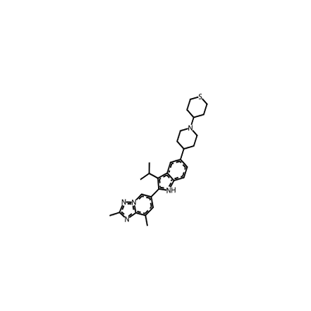 Cc1nc2c(C)cc(-c3[nH]c4ccc(C5CCN(C6CCSCC6)CC5)cc4c3C(C)C)cn2n1